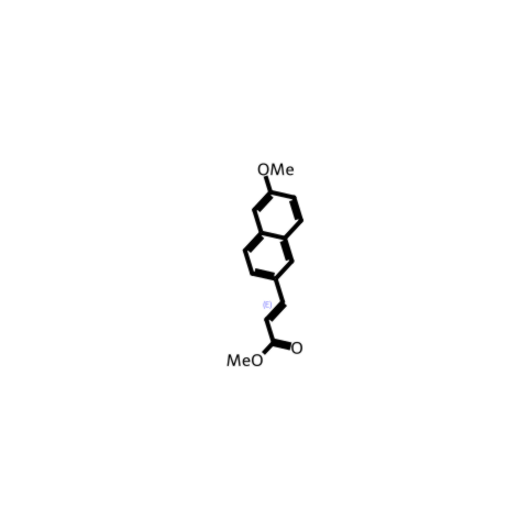 COC(=O)/C=C/c1ccc2cc(OC)ccc2c1